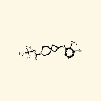 Cc1c(Br)cccc1OC1CC2(CCN(C(=O)OC(C)(C)C)CC2)C1